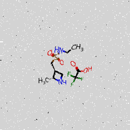 CCNS(=O)(=O)C[C@H]1CN[C@@H]1C.O=C(O)C(F)(F)F